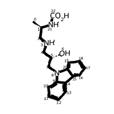 C[C@H](CNC[C@H](O)Cn1c2ccccc2c2ccccc21)NC(=O)O